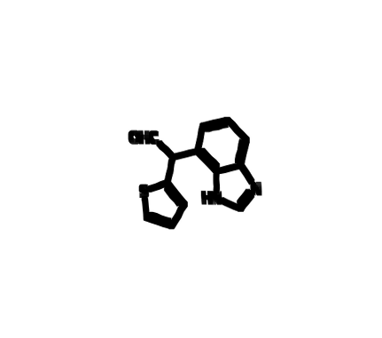 O=CC(c1cccs1)c1cccc2nc[nH]c12